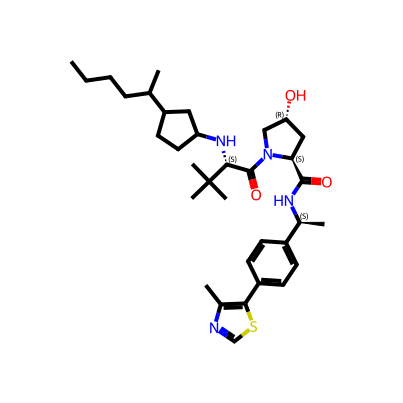 CCCCC(C)C1CCC(N[C@H](C(=O)N2C[C@H](O)C[C@H]2C(=O)N[C@@H](C)c2ccc(-c3scnc3C)cc2)C(C)(C)C)C1